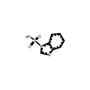 CCCS(=O)(=O)n1cnc2ccccc21